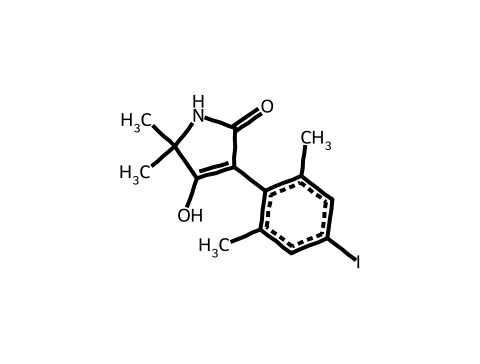 Cc1cc(I)cc(C)c1C1=C(O)C(C)(C)NC1=O